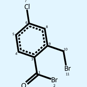 O=C(Br)c1ccc(Cl)cc1CBr